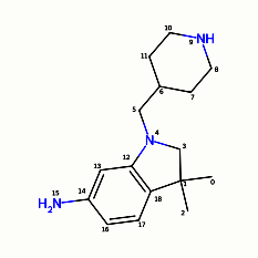 CC1(C)CN(CC2CCNCC2)c2cc(N)ccc21